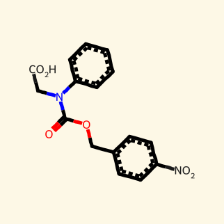 O=C(O)CN(C(=O)OCc1ccc([N+](=O)[O-])cc1)c1ccccc1